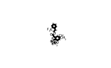 CC1(C)CC(=O)c2c(S(C)(=O)=O)sc(C(=O)OCCc3ccccc3C(F)(F)F)c2C1